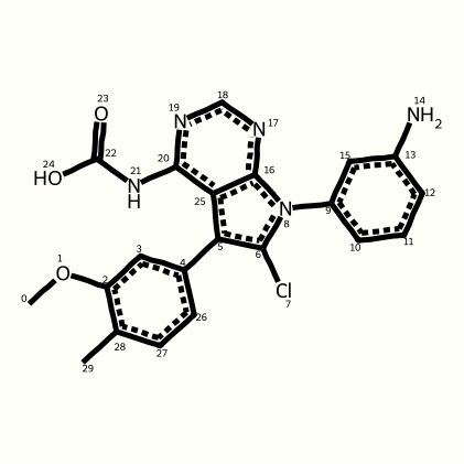 COc1cc(-c2c(Cl)n(-c3cccc(N)c3)c3ncnc(NC(=O)O)c23)ccc1C